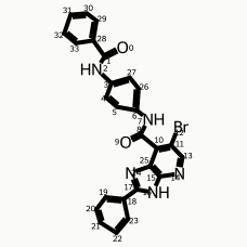 O=C(Nc1ccc(NC(=O)c2c(Br)cnc3[nH]c(-c4ccccc4)nc23)cc1)c1ccccc1